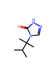 CC(C)C(C)(C)n1cn[nH]c1=O